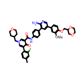 COc1cc(-c2cnc(N)c(-c3ccc(NC(=O)c4cn(CC5CCOCC5)cc(-c5ccc(C)cc5F)c4=O)cc3)c2)ccc1OCC1COCCO1